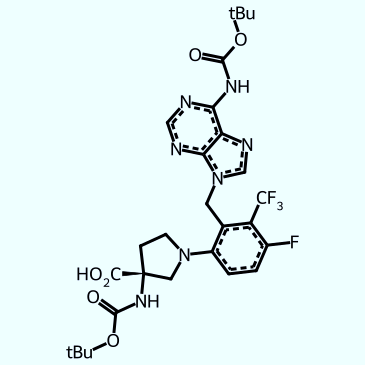 CC(C)(C)OC(=O)Nc1ncnc2c1ncn2Cc1c(N2CC[C@](NC(=O)OC(C)(C)C)(C(=O)O)C2)ccc(F)c1C(F)(F)F